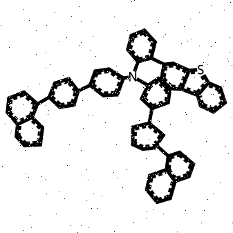 c1cc(-c2cccc(N(c3ccc(-c4ccc(-c5cccc6ccccc56)cc4)cc3)c3ccccc3-c3ccc4c(c3)sc3ccccc34)c2)cc(-c2cccc3ccccc23)c1